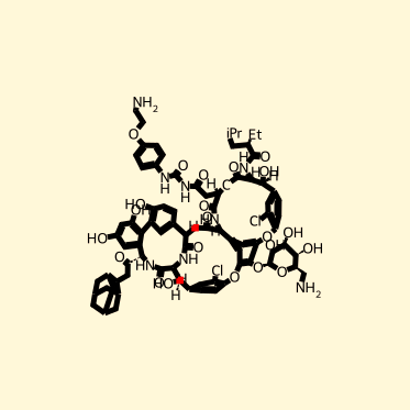 CC[C@H](CC(C)C)C(=O)N[C@H]1C(=O)C[C@@H](CC(=O)NC(=O)Nc2ccc(OCCN)cc2)C(=O)N[C@H]2C(=O)C[C@H]3C(=O)N[C@H](C(=O)N[C@H](C(=O)CC4C5CC6CC(C5)CC4C6)c4cc(O)cc(O)c4-c4cc3ccc4O)[C@H](O)c3ccc(c(Cl)c3)Oc3cc2cc(c3O[C@@H]2O[C@H](CN)[C@@H](O)[C@H](O)[C@H]2O)Oc2ccc(cc2Cl)[C@H]1O